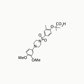 COc1ccc(N2CCN(S(=O)(=O)c3ccc(OC(C)(C)C(=O)O)c(C)c3)CC2)cc1OC